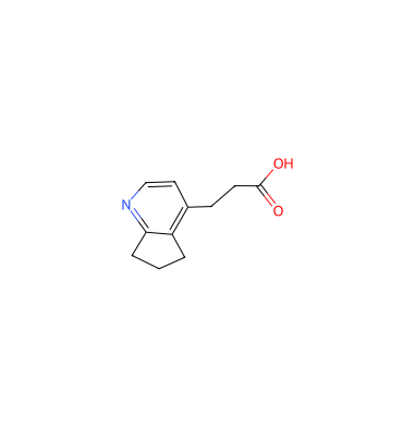 O=C(O)CCc1ccnc2c1CCC2